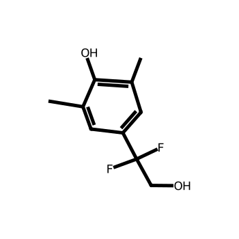 Cc1cc(C(F)(F)CO)cc(C)c1O